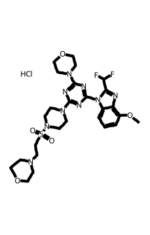 COc1cccc2c1nc(C(F)F)n2-c1nc(N2CCOCC2)nc(N2CCN(S(=O)(=O)CCN3CCOCC3)CC2)n1.Cl